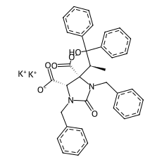 C[C@H](C(O)(c1ccccc1)c1ccccc1)[C@]1(C(=O)[O-])[C@@H](C(=O)[O-])N(Cc2ccccc2)C(=O)N1Cc1ccccc1.[K+].[K+]